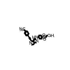 N#Cc1ccc(C#Cc2nccc3cnc(Nc4ccc(S(=O)(=O)CCO)cc4)cc23)cc1